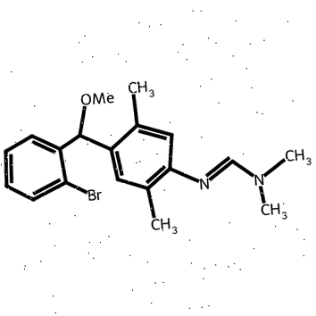 COC(c1cc(C)c(N=CN(C)C)cc1C)c1ccccc1Br